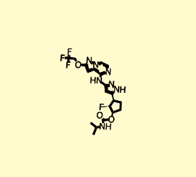 CC(C)NC(=O)O[C@@H]1CC[C@H](c2cc(Nc3nccn4nc(OCC(F)(F)F)cc34)n[nH]2)[C@H]1F